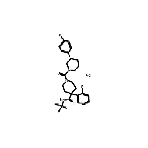 CC(C)(C)NC(=O)C1(c2ccccc2F)CCN(C(=O)N2CCC[C@H](c3ccc(F)cc3)C2)CC1.Cl